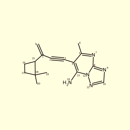 C=C(C#Cc1c(C)nc2ncnn2c1N)C1C[CH]C1(C)C